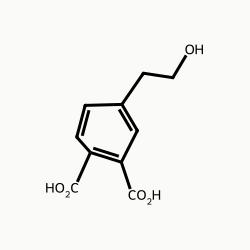 O=C(O)c1ccc(CCO)cc1C(=O)O